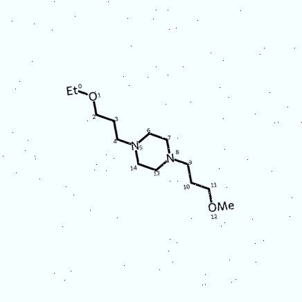 CCOCCCN1CCN(CCCOC)CC1